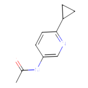 CC(=O)Nc1ccc(C2CC2)nc1